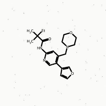 CCC(C)(C)C(=O)Nc1cc(CN2CCOCC2)c(-c2ccoc2)cn1